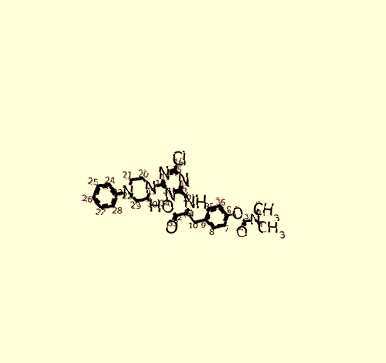 CN(C)C(=O)Oc1ccc(C[C@H](Nc2nc(Cl)nc(N3CCN(c4ccccc4)CC3)n2)C(=O)O)cc1